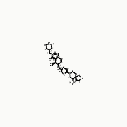 N[C@@H]1COCC12CCN(c1cnc(Sc3ccc4ncn(CC5CCOCC5)c(=O)c4c3Cl)cn1)CC2